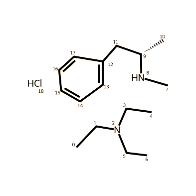 CCN(CC)CC.CN[C@@H](C)Cc1ccccc1.Cl